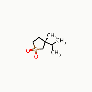 CC(C)[C@@]1(C)CCS(=O)(=O)C1